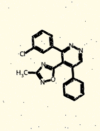 Cc1noc(-c2c(-c3ccccc3)cnnc2-c2cccc(Cl)c2)n1